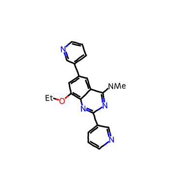 CCOc1cc(-c2cccnc2)cc2c(NC)nc(-c3cccnc3)nc12